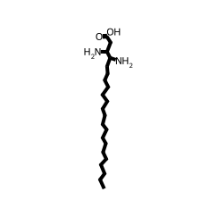 CCCCCCCCCCCCCCCCCCC(N)C(N)CC(=O)O